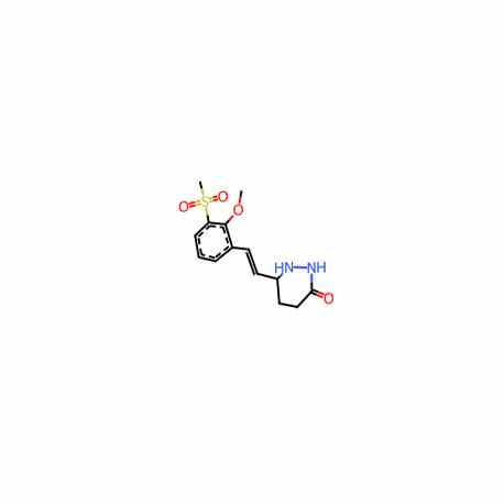 COc1c(/C=C/C2CCC(=O)NN2)cccc1S(C)(=O)=O